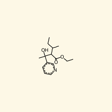 CCOC(=O)C(C(C)CC)C(C)(O)c1cccnc1